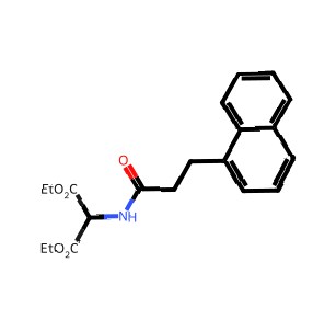 CCOC(=O)C(NC(=O)CCc1cccc2ccccc12)C(=O)OCC